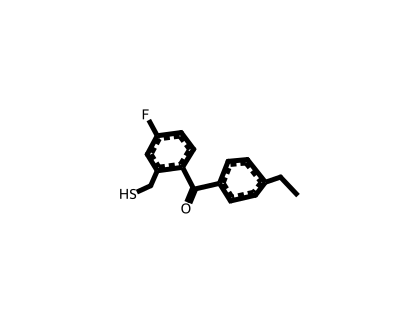 CCc1ccc(C(=O)c2ccc(F)cc2CS)cc1